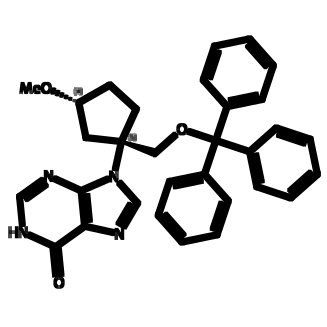 CO[C@@H]1CC[C@](COC(c2ccccc2)(c2ccccc2)c2ccccc2)(n2cnc3c(=O)[nH]cnc32)C1